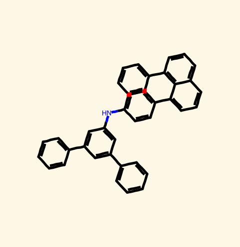 c1ccc(-c2cc(Nc3ccc(-c4cccc5cccc(-c6ccccc6)c45)cc3)cc(-c3ccccc3)c2)cc1